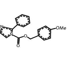 COc1ccc(COC(=O)n2ccnc2-c2ccccc2)cc1